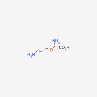 NCCCO[C@H](N)C(=O)O